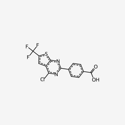 O=C(O)c1ccc(-c2nc(Cl)c3cc(C(F)(F)F)sc3n2)cc1